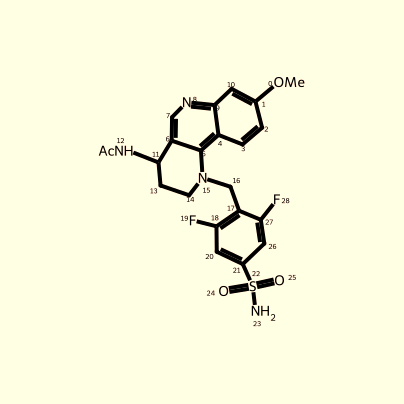 COc1ccc2c3c(cnc2c1)C(NC(C)=O)CCN3Cc1c(F)cc(S(N)(=O)=O)cc1F